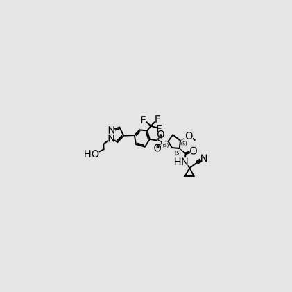 CO[C@H]1C[C@@H](S(=O)(=O)c2ccc(-c3cnn(CCO)c3)cc2C(F)(F)F)C[C@@H]1C(=O)NC1(C#N)CC1